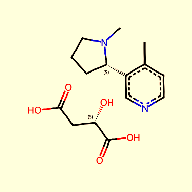 Cc1ccncc1[C@@H]1CCCN1C.O=C(O)C[C@H](O)C(=O)O